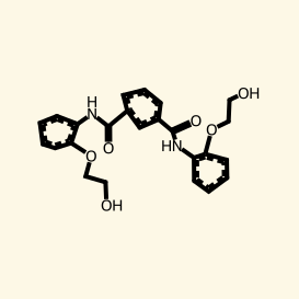 O=C(Nc1ccccc1OCCO)c1cccc(C(=O)Nc2ccccc2OCCO)c1